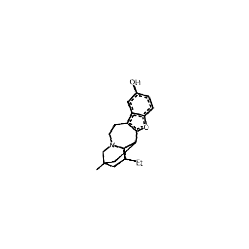 CCC1CC2(C)CC3c4oc5ccc(O)cc5c4CCN(C2)C13